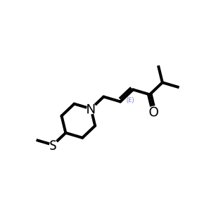 CSC1CCN(C/C=C/C(=O)C(C)C)CC1